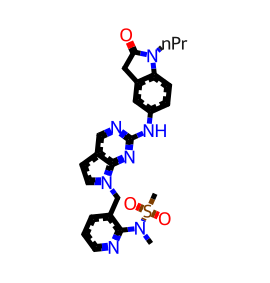 CCCN1C(=O)Cc2cc(Nc3ncc4ccn(Cc5cccnc5N(C)S(C)(=O)=O)c4n3)ccc21